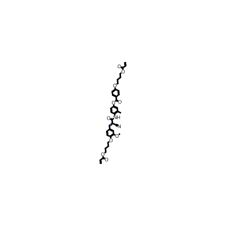 C=CC(=O)OCCCCOc1ccc(C(=O)Oc2ccc(NC(=O)/C(C#N)=C/c3ccc(OCCCCOC(=O)C=C)c(OC)c3)c(C)c2)cc1